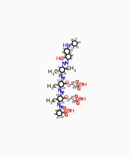 Cc1cc(N=Nc2ccc3cc(Nc4ccccc4)ccc3c2O)c(C)cc1N=Nc1cc(C)c(N=Nc2cc(C)c(N=Nc3ccccc3S(=O)(=O)O)cc2OCCCS(=O)(=O)O)cc1OCCCS(=O)(=O)O